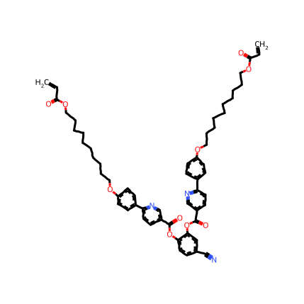 C=CC(=O)OCCCCCCCCCCOc1ccc(-c2ccc(C(=O)Oc3ccc(C#N)cc3OC(=O)c3ccc(-c4ccc(OCCCCCCCCCCOC(=O)C=C)cc4)nc3)cn2)cc1